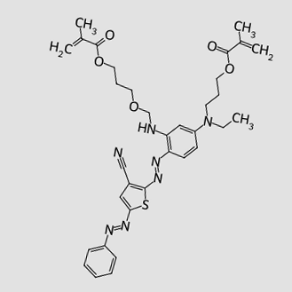 C=C(C)C(=O)OCCCOCNc1cc(N(CC)CCCOC(=O)C(=C)C)ccc1/N=N/c1sc(/N=N/c2ccccc2)cc1C#N